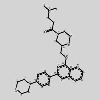 CN(C)CCC(=O)N1CCOC(COc2nc(-c3ccc(N4CCOCC4)cc3)cc3nccnc23)C1